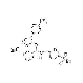 CCOC[C@@H]1CC(c2ccc(C(F)(F)F)cc2)CN1c1ccccc1C(=O)NCc1ccc(S(=O)(=O)CC)cc1